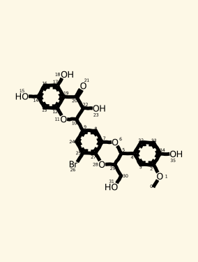 COc1cc(C2Oc3cc(C4Oc5cc(O)cc(O)c5C(=O)C4O)cc(Br)c3OC2CO)ccc1O